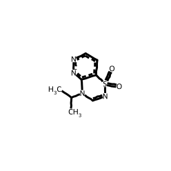 CC(C)N1C=NS(=O)(=O)c2ccnnc21